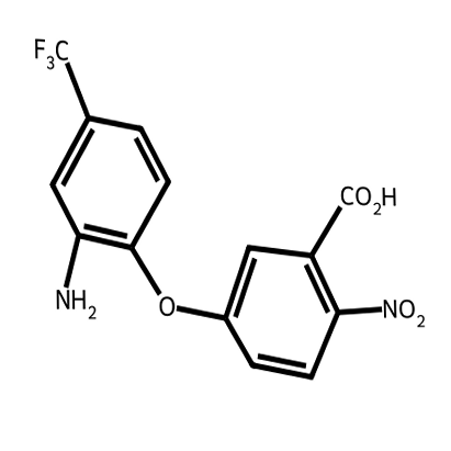 Nc1cc(C(F)(F)F)ccc1Oc1ccc([N+](=O)[O-])c(C(=O)O)c1